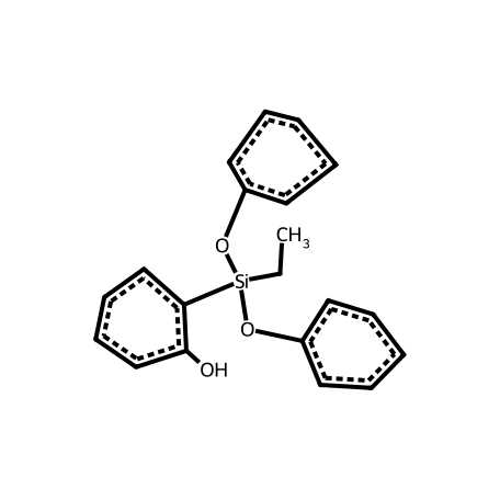 CC[Si](Oc1ccccc1)(Oc1ccccc1)c1ccccc1O